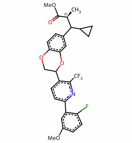 COC(=O)[C@@H](C)C(c1ccc2c(c1)OC(c1ccc(-c3cc(OC)ccc3F)nc1C(F)(F)F)CO2)C1CC1